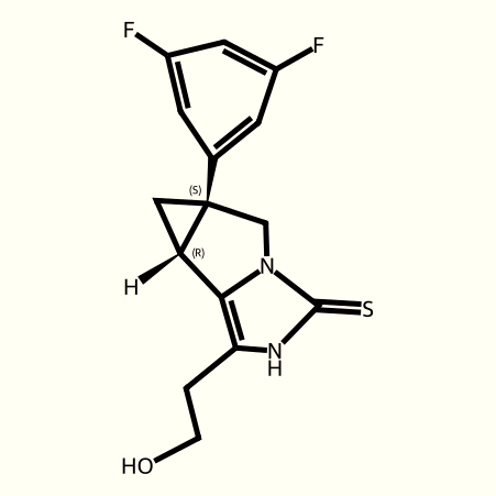 OCCc1[nH]c(=S)n2c1[C@@H]1C[C@]1(c1cc(F)cc(F)c1)C2